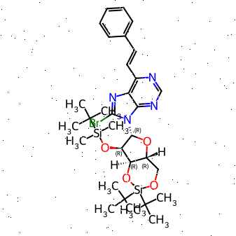 CC(C)(C)[Si](C)(C)O[C@@H]1[C@@H]2O[Si](C(C)(C)C)(C(C)(C)C)OC[C@H]2O[C@H]1n1c(Br)nc2c(C=Cc3ccccc3)ncnc21